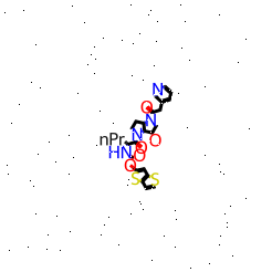 CCCC(NC(=O)Oc1cc2sccc2s1)C(=O)N1CCC2C1C(=O)CN2C(=O)Cc1cccnc1